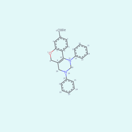 COc1ccc2c(c1)OCC1=C2N(c2ccccc2)CN(c2ccccc2)C1